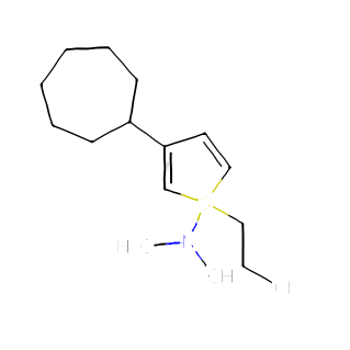 CCCS1(N(C)C)C=CC(C2CCCCCC2)=C1